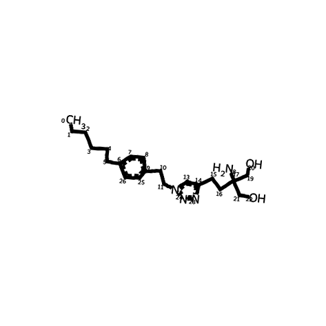 CCCCCCc1ccc(CCn2cc(CCC(N)(CO)CO)nn2)cc1